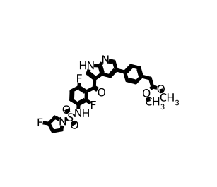 COC(Cc1ccc(-c2cnc3[nH]cc(C(=O)c4c(F)ccc(NS(=O)(=O)N5CCC(F)C5)c4F)c3c2)cc1)OC